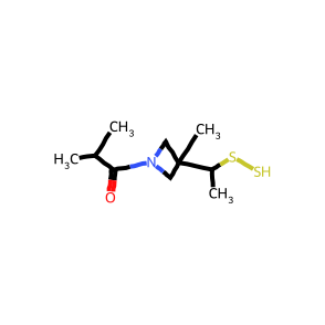 CC(C)C(=O)N1CC(C)(C(C)SS)C1